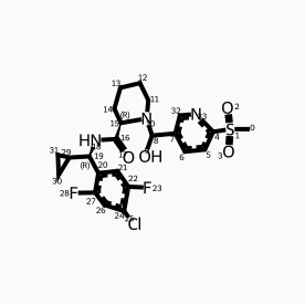 CS(=O)(=O)c1ccc(C(O)N2CCCC[C@@H]2C(=O)N[C@@H](c2cc(F)c(Cl)cc2F)C2CC2)cn1